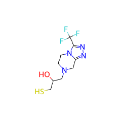 OC(CS)CN1CCn2c(nnc2C(F)(F)F)C1